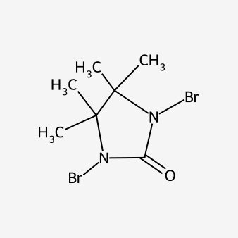 CC1(C)N(Br)C(=O)N(Br)C1(C)C